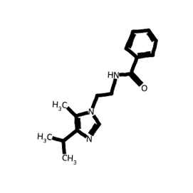 Cc1c(C(C)C)ncn1CCNC(=O)c1ccccc1